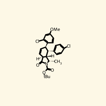 COc1ccc([C@@H]2C=C[C@@H]3C(=O)N(C(=O)OC(C)(C)C)[C@@H](C)[C@H]3[C@H]2c2ccc(Cl)cc2)c(Cl)c1